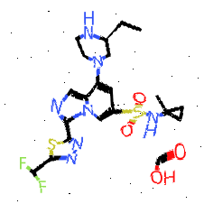 CC[C@H]1CN(c2cc(S(=O)(=O)NC3(C)CC3)cn3c(-c4nnc(C(F)F)s4)ncc23)CCN1.O=CO